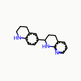 c1cnc2c(c1)CCC(c1ccc3c(c1)CCCN3)N2